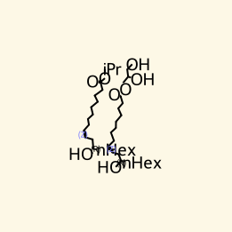 CCCCCC[C@@H](O)C/C=C\CCCCCCCC(=O)OC(C)C.CCCCCC[C@@H](O)C/C=C\CCCCCCCC(=O)OCC(O)CO